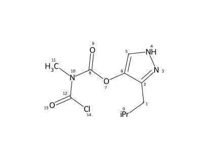 CC(C)Cc1n[nH]cc1OC(=O)N(C)C(=O)Cl